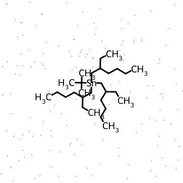 CCCCC(CC)[CH2][Sn]([CH2]C(CC)CCCC)([CH2]C(CC)CCCC)[C](C)(C)C